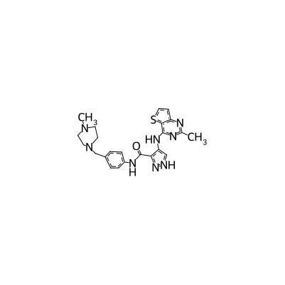 Cc1nc(Nc2c[nH]nc2C(=O)Nc2ccc(CN3CCN(C)CC3)cc2)c2sccc2n1